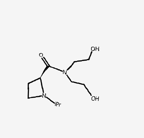 CC(C)N1CC[C@H]1C(=O)N(CCO)CCO